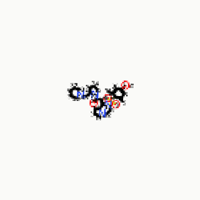 COc1cc(C)c(S(=O)(=O)N2CCn3cccc3C2CC(=O)N2CCCC2CN2CCCCC2)c(C)c1